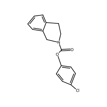 O=C(Oc1ccc(Cl)cc1)N1CCc2ccccc2C1